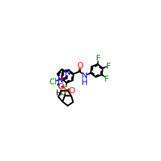 O=C(Nc1cc(F)c(F)c(F)c1)c1ccc(Cl)c(S(=O)(=O)[C@H]2C3CCC2C[C@H](Cn2ccnc2)C3)c1